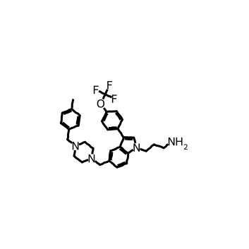 Cc1ccc(CN2CCN(Cc3ccc4c(c3)c(-c3ccc(OC(F)(F)F)cc3)cn4CCCN)CC2)cc1